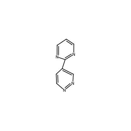 c1cnc(-c2ccnnc2)nc1